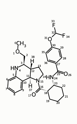 COC[C@@H]1Nc2ccccc2[C@H]2[C@H]1CCN2C(=O)[C@H]1CCCC[C@H]1NC(=O)c1ccc(OC(F)F)cc1